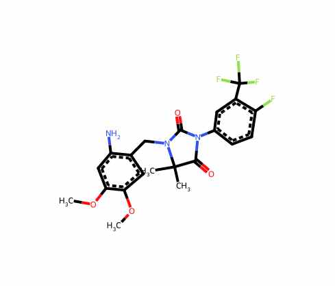 COc1cc(N)c(CN2C(=O)N(c3ccc(F)c(C(F)(F)F)c3)C(=O)C2(C)C)cc1OC